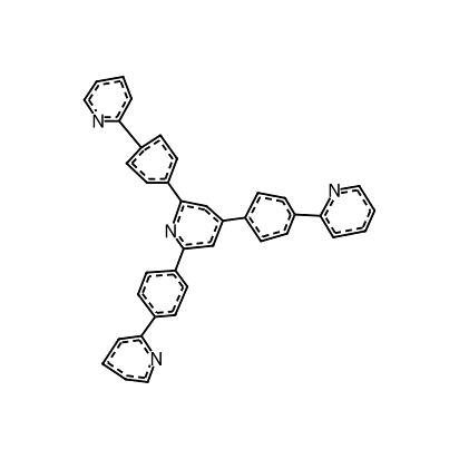 c1ccc(-c2ccc(-c3cc(-c4ccc(-c5ccccn5)cc4)nc(-c4ccc(-c5ccccn5)cc4)c3)cc2)nc1